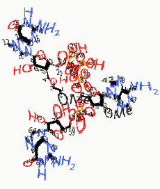 COCCOC[C@H]1[C@@H](O)[C@H](n2c[n+](C)c3c(=O)[nH]c(N)nc32)O[C@@H]1COP(=O)(O)OP(=O)(O)OP(=O)(O)OC[C@H]1O[C@@H](n2cnc3c(N)ncnc32)[C@H](OC)[C@@H]1OP(=O)([O-])OC[C@H]1O[C@@H](n2cnc3c(=O)[nH]c(N)nc32)[C@H](O)[C@@H]1O